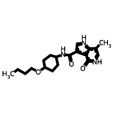 CCCCOC1CCC(NC(=O)c2c[nH]c3c(C)c[nH]c(=O)c23)CC1